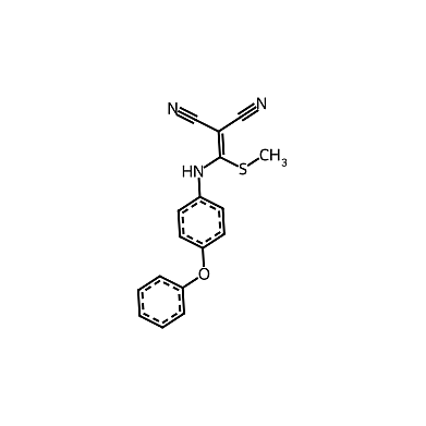 CSC(Nc1ccc(Oc2ccccc2)cc1)=C(C#N)C#N